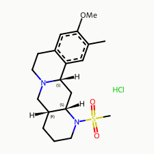 COc1cc2c(cc1C)[C@@H]1C[C@H]3[C@H](CCCN3S(C)(=O)=O)CN1CC2.Cl